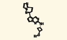 CCO[C@H]1C[C@H](Nc2ncc3c(-c4ccc5nccn5n4)ccn3n2)C1